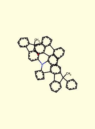 CC1(C)c2ccccc2-c2ccc(N(c3ccccc3-c3cccc4c3-c3ccccc3C4(C)c3ccccc3)c3ccccc3-c3cccc4cccc(-c5ccccc5)c34)cc21